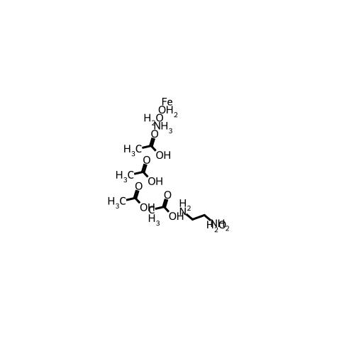 CC(=O)O.CC(=O)O.CC(=O)O.CC(=O)O.N.NCCN.O.O.O.[Fe]